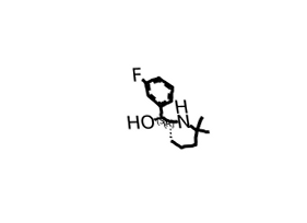 CC1(C)CCC[C@H]([C@@H](O)c2cccc(F)c2)N1